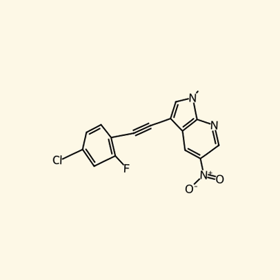 Cn1cc(C#Cc2ccc(Cl)cc2F)c2cc([N+](=O)[O-])cnc21